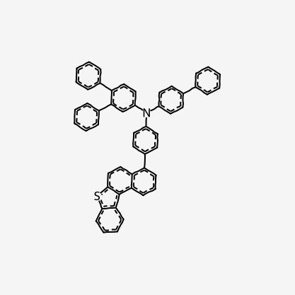 c1ccc(-c2ccc(N(c3ccc(-c4cccc5c4ccc4sc6ccccc6c45)cc3)c3ccc(-c4ccccc4)c(-c4ccccc4)c3)cc2)cc1